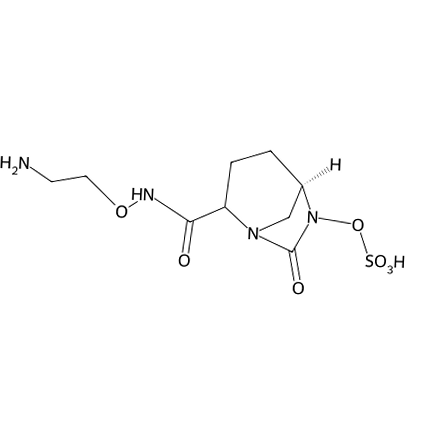 NCCONC(=O)C1CC[C@@H]2CN1C(=O)N2OS(=O)(=O)O